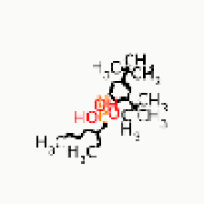 CCCCC(CC)C[PH](O)(O)Oc1ccc(C(C)(C)C)cc1C(C)(C)C